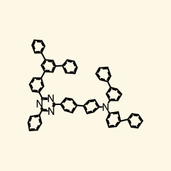 c1ccc(-c2cc(-c3ccccc3)cc(-c3cccc(-c4nc(-c5ccccc5)nc(-c5ccc(-c6ccc(N(c7cccc(-c8ccccc8)c7)c7cccc(-c8ccccc8)c7)cc6)cc5)n4)c3)c2)cc1